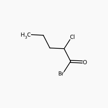 CCCC(Cl)C(=O)Br